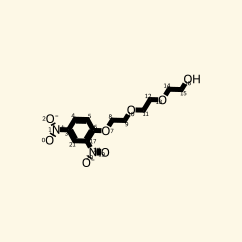 O=[N+]([O-])c1ccc(OCCOCCOCCO)c([N+](=O)[O-])c1